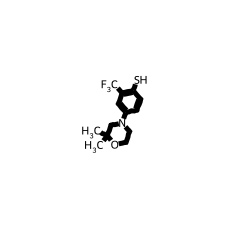 CC1(C)CN(c2ccc(S)c(C(F)(F)F)c2)CCO1